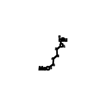 [CH2]CCCOCCCCOC